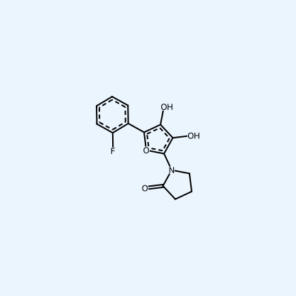 O=C1CCCN1c1oc(-c2ccccc2F)c(O)c1O